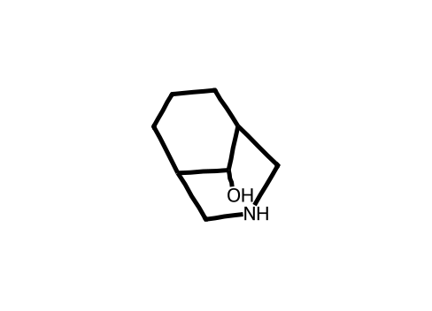 OC1C2CCCC1CNC2